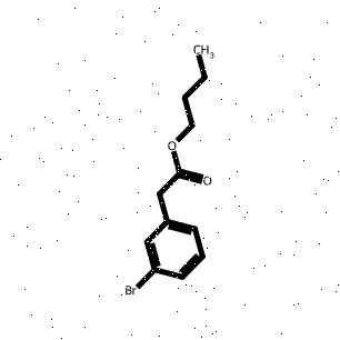 CCCCOC(=O)Cc1cccc(Br)c1